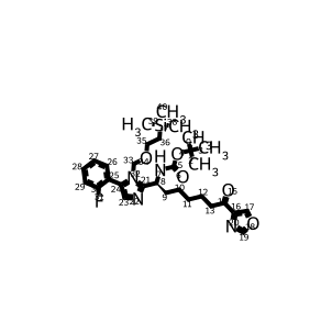 CC(C)(C)OC(=O)N[C@@H](CCCCCC(=O)c1cocn1)c1ncc(-c2ccccc2F)n1COCC[Si](C)(C)C